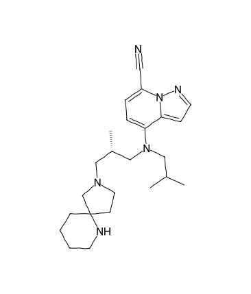 CC(C)CN(C[C@@H](C)CN1CCC2(CCCCN2)C1)c1ccc(C#N)n2nccc12